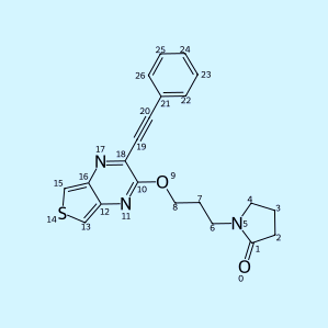 O=C1CCCN1CCCOc1nc2cscc2nc1C#Cc1ccccc1